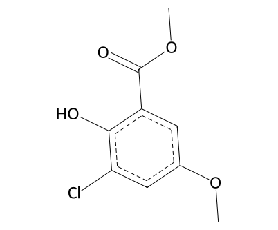 COC(=O)c1cc(OC)cc(Cl)c1O